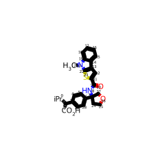 CC(C)C(C(=O)O)c1ccc(C2(NC(=O)c3cc4c5ccccc5n(C)c4s3)CCOC2)cc1